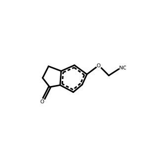 [C-]#[N+]COc1ccc2c(c1)CCC2=O